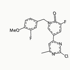 COc1ccc(Cn2cc(-c3cc(C)nc(Cl)n3)cc(F)c2=O)cc1F